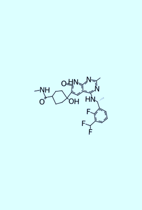 CNC(=O)C1CCC(O)(c2cc3c(N[C@H](C)c4cccc(C(F)F)c4F)nc(C)nc3[nH]c2=O)CC1